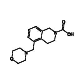 O=C(O)N1CCc2c(CN3CCOCC3)cccc2C1